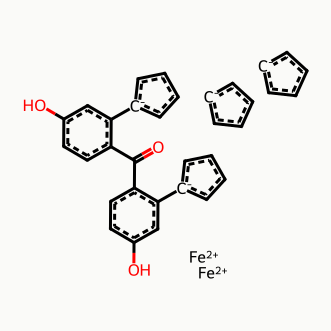 O=C(c1ccc(O)cc1-[c-]1cccc1)c1ccc(O)cc1-[c-]1cccc1.[Fe+2].[Fe+2].c1cc[cH-]c1.c1cc[cH-]c1